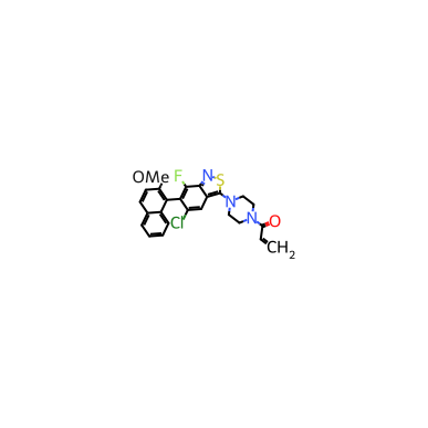 C=CC(=O)N1CCN(c2snc3c(F)c(-c4c(OC)ccc5ccccc45)c(Cl)cc23)CC1